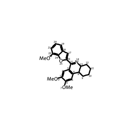 COc1cc2c(cc1OC)C1CCCCC1N=C2c1cc2cccc(OC)c2o1